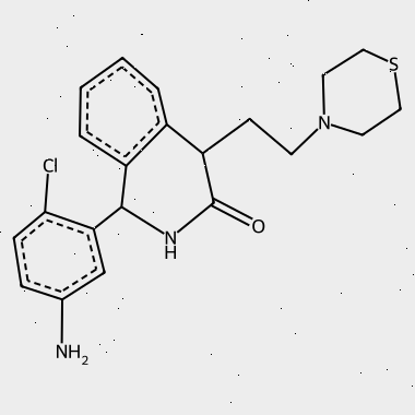 Nc1ccc(Cl)c(C2NC(=O)C(CCN3CCSCC3)c3ccccc32)c1